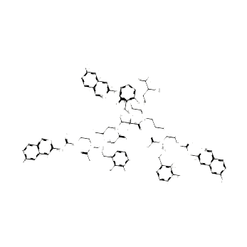 CC(=O)N(NCc1cccc(F)c1Cl)[C@@H](CCCN(C(=O)CN)C(O)[C@@](N)(NCc1ccccc1Cl)C(=O)N(CCC[C@@H](COC(=O)Nc1cc2cc(F)ccc2cn1)N(NCc1cccc(F)c1Cl)C(C)=O)[C@@H](CCC(N)C(F)F)COC(=O)Nc1cc2cc(F)ccc2cn1)COC(=O)Nc1cc2cc(F)ccc2cn1